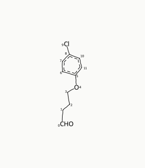 O=CCCCOc1ccc(Cl)cc1